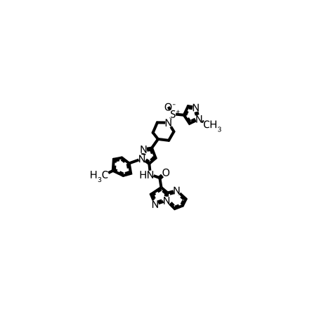 Cc1ccc(-n2nc(C3CCN([S+]([O-])c4cnn(C)c4)CC3)cc2NC(=O)c2cnn3cccnc23)cc1